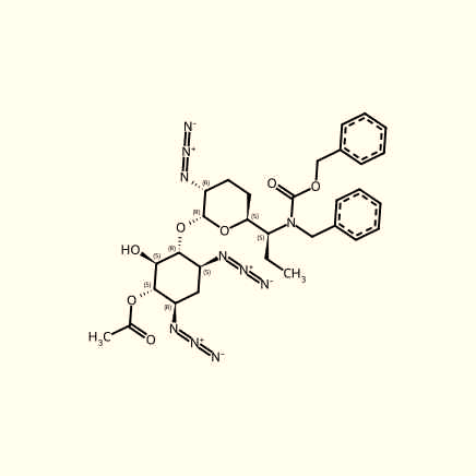 CC[C@@H]([C@@H]1CC[C@@H](N=[N+]=[N-])[C@@H](O[C@H]2[C@H](O)[C@@H](OC(C)=O)[C@H](N=[N+]=[N-])C[C@@H]2N=[N+]=[N-])O1)N(Cc1ccccc1)C(=O)OCc1ccccc1